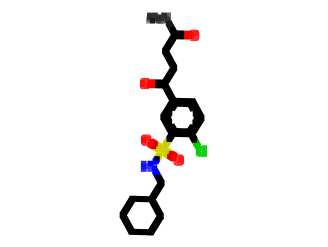 CNC(=O)CCC(=O)c1ccc(Cl)c(S(=O)(=O)NCC2CCCCC2)c1